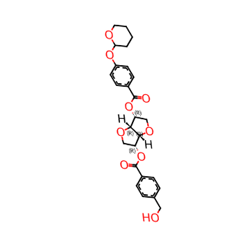 O=C(O[C@@H]1CO[C@H]2[C@@H]1OC[C@H]2OC(=O)c1ccc(OC2CCCCO2)cc1)c1ccc(CO)cc1